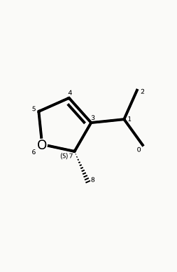 CC(C)C1=CCO[C@H]1C